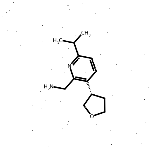 CC(C)c1ccc([C@@H]2CCOC2)c(CN)n1